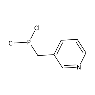 ClP(Cl)Cc1cccnc1